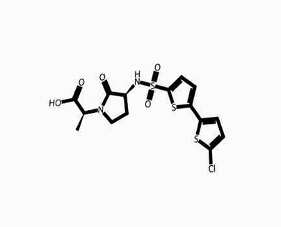 C[C@@H](C(=O)O)N1CC[C@H](NS(=O)(=O)c2ccc(-c3ccc(Cl)s3)s2)C1=O